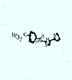 O=C(O)c1ccc(C(=O)Nc2nc(-c3ccccn3)cs2)cc1